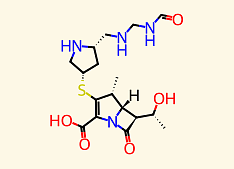 C[C@@H](O)[C@H]1C(=O)N2C(C(=O)O)=C(S[C@@H]3CN[C@H](CNCNC=O)C3)[C@H](C)[C@H]12